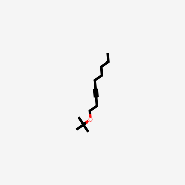 CCCCCC#CCCOC(C)(C)C